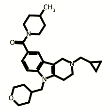 CC1CCN(C(=O)c2ccc3c(c2)c2c(n3CC3CCOCC3)CCN(CC3CC3)C2)CC1